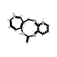 C=C1/N=c2/cccn/c2=N/CC2=C(C=C=CN=C2)O1